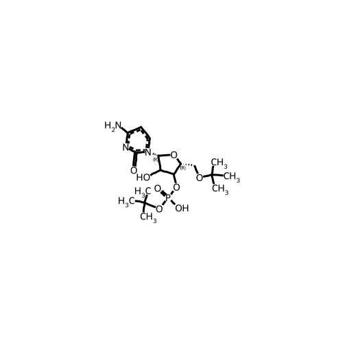 CC(C)(C)OC[C@H]1O[C@@H](n2ccc(N)nc2=O)C(O)C1OP(=O)(O)OC(C)(C)C